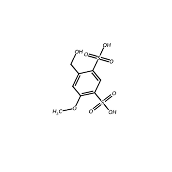 COc1cc(CO)c(S(=O)(=O)O)cc1S(=O)(=O)O